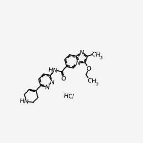 CCOc1c(C)nc2ccc(C(=O)Nc3ccc(C4=CCNCC4)nn3)cn12.Cl